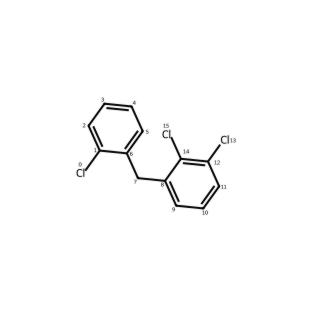 Clc1ccccc1Cc1cccc(Cl)c1Cl